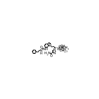 CC(C)(C)[Si](C)(C)OC[C@@H](CCn1ccc2ccc(NC(=O)NCCc3ccccc3)cc21)n1cnc(C(N)=O)c1